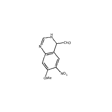 COc1cc2c(cc1[N+](=O)[O-])C(C=O)NC=N2